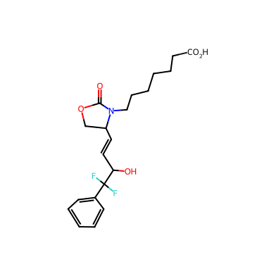 O=C(O)CCCCCCN1C(=O)OCC1C=CC(O)C(F)(F)c1ccccc1